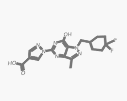 Cc1nn(CC2CCC(F)(F)CC2)c2c(O)nc(-n3cc(C(=O)O)cn3)nc12